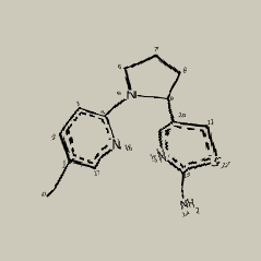 Cc1ccc(N2CCCC2c2csc(N)n2)nc1